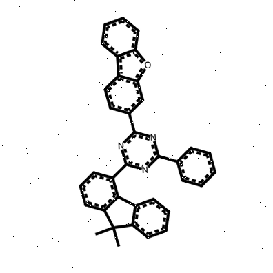 CC1(C)c2ccccc2-c2c(-c3nc(-c4ccccc4)nc(-c4ccc5c(c4)oc4ccccc45)n3)cccc21